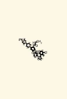 C=CC(=O)Nc1cc(Nc2cc(N3OCCC3c3cccc(Cl)c3F)ncn2)c(OC)cc1N1CCC(N2CCN(C(C)C)CC2)CC1